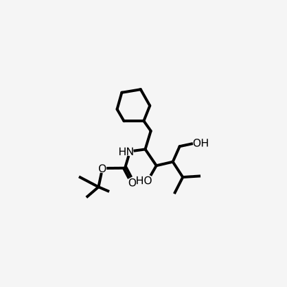 CC(C)C(CO)C(O)C(CC1CCCCC1)NC(=O)OC(C)(C)C